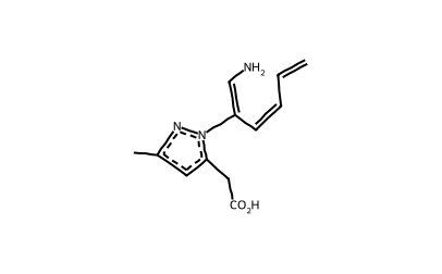 C=C/C=C\C(=C/N)n1nc(C)cc1CC(=O)O